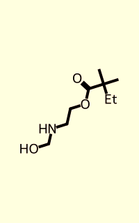 CCC(C)(C)C(=O)OCCNCO